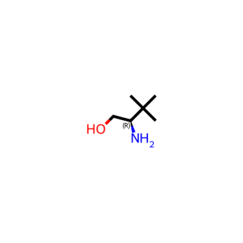 CC(C)(C)[C@@H](N)CO